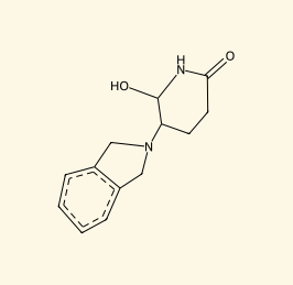 O=C1CCC(N2Cc3ccccc3C2)C(O)N1